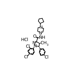 C[C@@H]1C(C(=O)NN2CCN(C3CCCC3)CC2)=NN(c2ccc(Cl)cc2Cl)[C@@H]1c1ccc(Cl)cc1.Cl